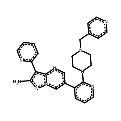 Nc1nn2cc(-c3cccnc3N3CCN(Cc4ccncc4)CC3)cnc2c1-c1ccccn1